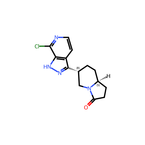 O=C1CC[C@@H]2CC[C@@H](c3n[nH]c4c(Cl)nccc34)CN12